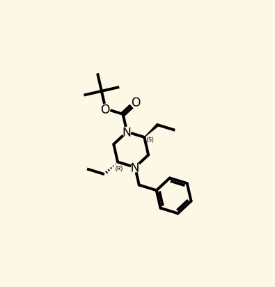 CC[C@@H]1CN(C(=O)OC(C)(C)C)[C@@H](CC)CN1Cc1ccccc1